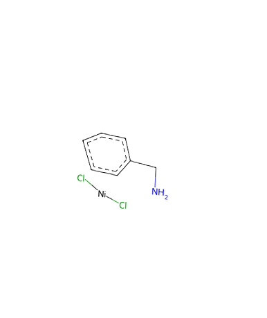 NCc1ccccc1.[Cl][Ni][Cl]